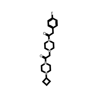 O=C(Cc1ccc(F)cc1)N1CCN(CC(=O)N2CCN(C3CCC3)CC2)CC1